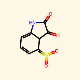 O=C1NC2=CC=CC(=S(=O)=O)C2C1=O